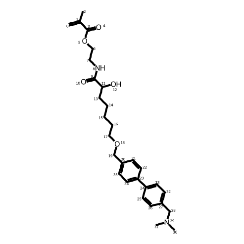 C=C(C)C(=O)OCCNC(=O)C(O)CCCCCOCc1ccc(-c2ccc(CN(C)C)cc2)cc1